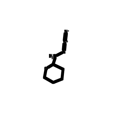 [N-]=[N+]=N[SiH2]C1CCCCO1